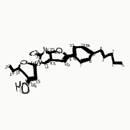 CCCCCc1ccc(-c2cc3cn(C4CC(O)C(CC)O4)c(=O)nc3o2)cc1